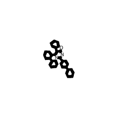 c1ccc(-c2ccc(-c3nc(-c4ccccc4-c4ccccc4)c4c(n3)oc3ccccc34)cc2)cc1